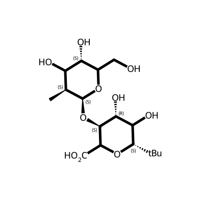 C[C@H]1C(O)[C@H](O)C(CO)O[C@H]1O[C@@H]1C(C(=O)O)O[C@@H](C(C)(C)C)C(O)[C@H]1O